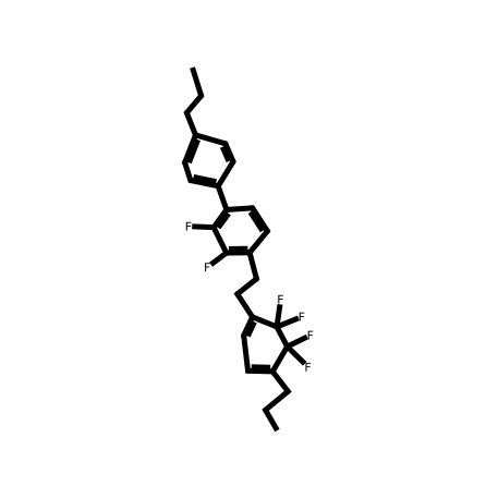 CCCC1=CC=C(CCc2ccc(-c3ccc(CCC)cc3)c(F)c2F)C(F)(F)C1(F)F